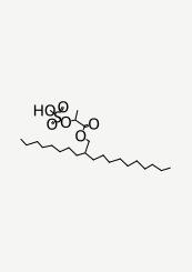 CCCCCCCCCCC(CCCCCCCC)COC(=O)C(C)OS(=O)(=O)O